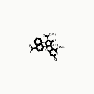 COC(=O)[C@H]1C(=O)[C@@]2(O)c3c(cc(Cl)nc3OC)O[C@@]2(c2ccc(C(F)F)cc2)[C@@H]1c1ccccc1